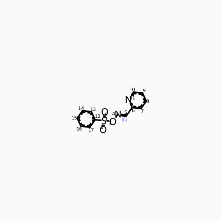 O=S(=O)(O/N=C/c1ccccn1)c1ccccc1